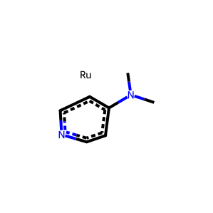 CN(C)c1ccncc1.[Ru]